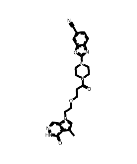 Cc1cn(CCOCCC(=O)N2CCN(c3nc4ccc(C#N)cc4o3)CC2)c2cn[nH]c(=O)c12